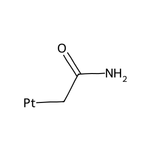 NC(=O)[CH2][Pt]